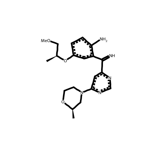 COC[C@H](C)Oc1ccc(N)c(C(=N)c2cc(N3CCO[C@H](C)C3)ncn2)c1